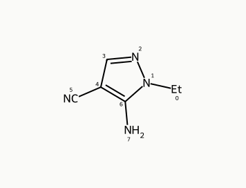 CCn1ncc(C#N)c1N